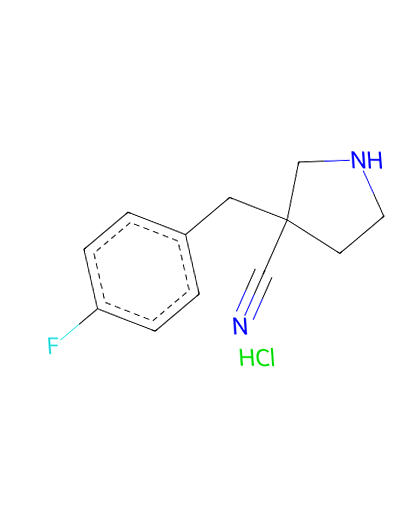 Cl.N#CC1(Cc2ccc(F)cc2)CCNC1